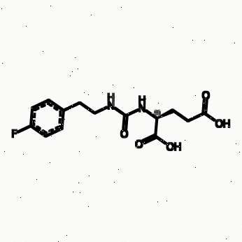 O=C(O)CC[C@H](NC(=O)NCCc1ccc(F)cc1)C(=O)O